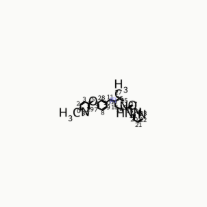 Cc1ccc(Oc2cccc(/C=C3\CCN(C(=O)Nc4cccnn4)CC3C)c2)cn1